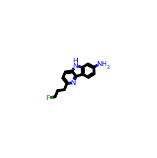 Nc1ccc2c(c1)[nH]c1ccc(CCCF)nc12